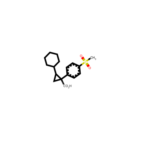 CS(=O)(=O)c1ccc(C2(C(=O)O)CC2C2CCCCC2)cc1